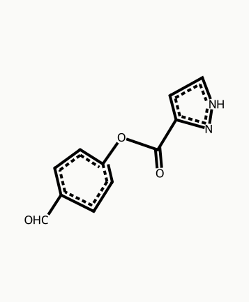 O=Cc1ccc(OC(=O)c2cc[nH]n2)cc1